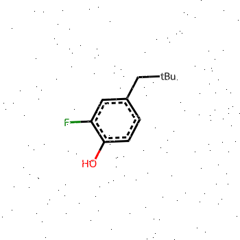 CC(C)(C)Cc1ccc(O)c(F)c1